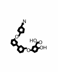 N#Cc1ccc(COc2cccc(-c3cccc(COc4ccc(O)c(C(=O)O)c4)c3)c2)cc1